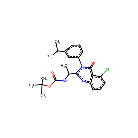 CC(C)c1cccc(-n2c(C(C)NC(=O)OC(C)(C)C)nc3cccc(Cl)c3c2=O)c1